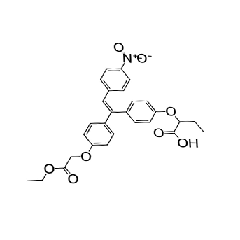 CCOC(=O)COc1ccc(/C(=C/c2ccc([N+](=O)[O-])cc2)c2ccc(OC(CC)C(=O)O)cc2)cc1